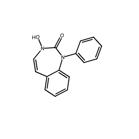 O=C1N(O)C=Cc2ccccc2N1c1ccccc1